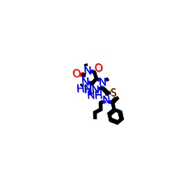 CCCCN1C(c2ccccc2)=CSC1=C1NC2(NN)C(C(=O)N(C)C(=O)N2C)N1C